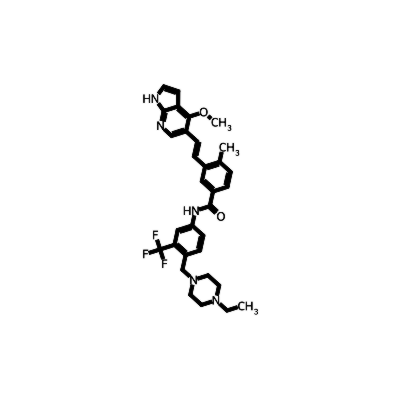 CCN1CCN(Cc2ccc(NC(=O)c3ccc(C)c(C=Cc4cnc5[nH]ccc5c4OC)c3)cc2C(F)(F)F)CC1